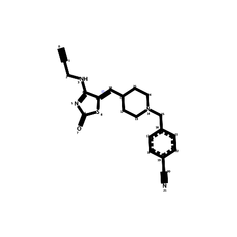 C#CCNC1=NC(=O)S/C1=C\C1CCN(Cc2ccc(C#N)cc2)CC1